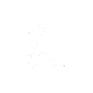 c1ccc2c(N(c3ccc(-c4ccc5c(c4)oc4ccccc45)cc3)c3ccc(-c4cccc5c4ccc4ccccc45)cc3)cccc2c1